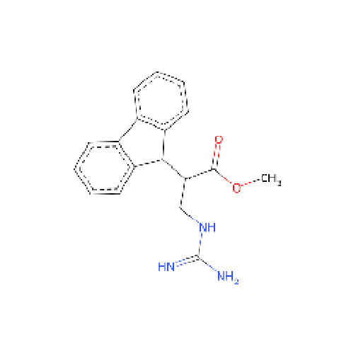 COC(=O)[C](CNC(=N)N)C1c2ccccc2-c2ccccc21